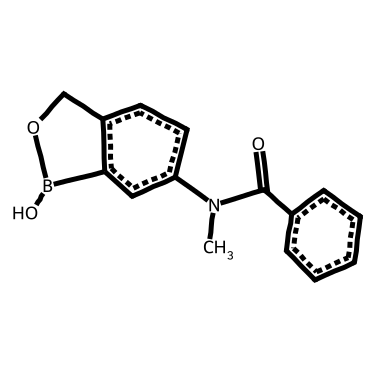 CN(C(=O)c1ccccc1)c1ccc2c(c1)B(O)OC2